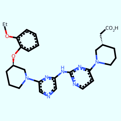 CCOc1ccccc1O[C@@H]1CCCN(c2cncc(Nc3nccc(N4CCC[C@@H](CC(=O)O)C4)n3)n2)C1